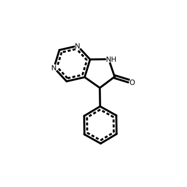 O=C1Nc2ncncc2C1c1ccccc1